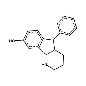 Oc1ccc2c(c1)C1NCCCC1C2c1ccccc1